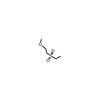 [CH2]CS(=O)(=O)CCOC